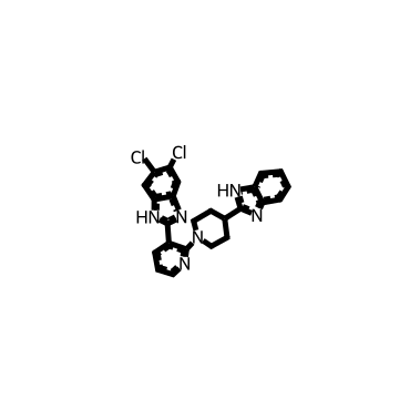 Clc1cc2nc(-c3cccnc3N3CCC(c4nc5ccccc5[nH]4)CC3)[nH]c2cc1Cl